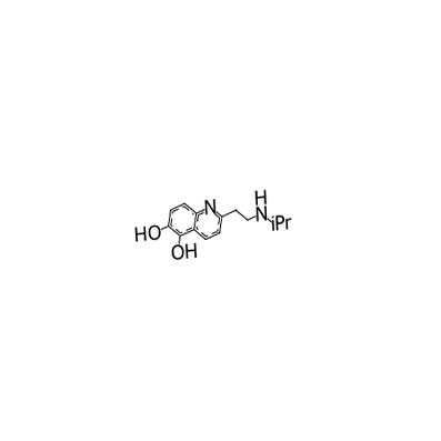 CC(C)NCCc1ccc2c(O)c(O)ccc2n1